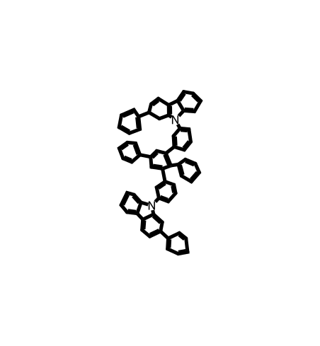 C1=CC(c2ccccc2)Cc2c1c1ccccc1n2-c1cccc(-c2cc(-c3ccccc3)cc(-c3cccc(-n4c5ccccc5c5ccc(-c6ccccc6)cc54)c3)c2-c2ccccc2)c1